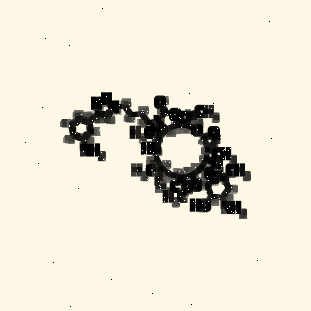 CC[C@H]1OC(=O)C(C)(F)C(=O)[C@H](C)[C@@H](O[C@@H]2O[C@H](C)CC(N)C2O)[C@](C)(OC)CC(C)(F)CN[C@H](C)[C@H]2N(CCCCn3cc(-c4cccc(N)c4)nn3)C(=O)O[C@]12C